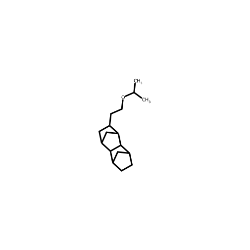 CC(C)OCCC1CC2CC1C1C3CCC(C3)C21